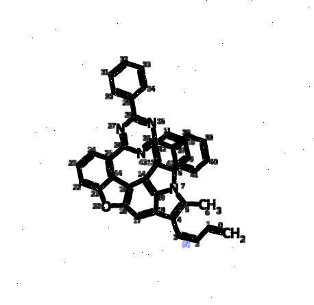 C=C/C=C\c1c(C)n2c3ccccc3c3c4c(cc1c32)oc1cccc(-c2nc(-c3ccccc3)nc(-c3ccccc3)n2)c14